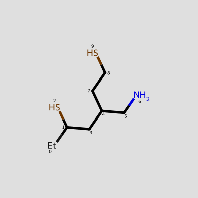 CCC(S)CC(CN)CCS